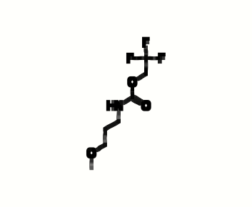 COCCCNC(=O)OCC(F)(F)F